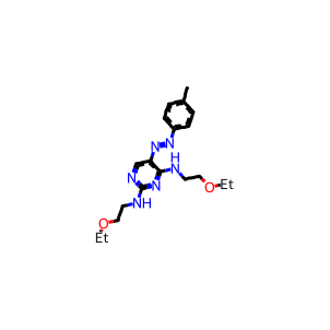 CCOCCNc1ncc(N=Nc2ccc(C)cc2)c(NCCOCC)n1